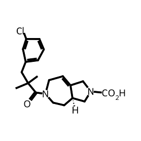 CC(C)(Cc1cccc(Cl)c1)C(=O)N1CC=C2CN(C(=O)O)C[C@H]2CC1